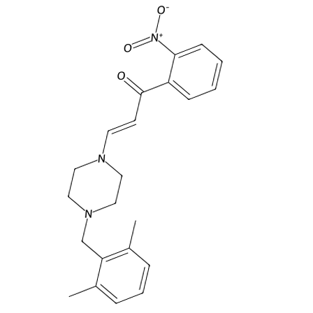 Cc1cccc(C)c1CN1CCN(C=CC(=O)c2ccccc2[N+](=O)[O-])CC1